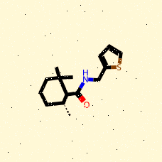 C[C@@H]1CCCC(C)(C)C1C(=O)NCc1cccs1